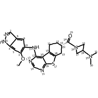 COc1cc2[nH]ncc2cc1Nc1ncnc2sc3c(c12)CC[C@H](C(=O)N1CC(N(C)C)C1)C3